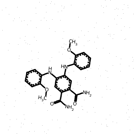 COc1ccccc1Nc1cc(C(N)=O)c(C(N)=O)cc1Nc1ccccc1OC